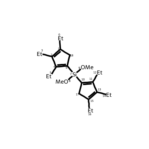 CCC1=C(CC)C(CC)=C([Si](OC)(OC)C2=C(CC)C(CC)=C(CC)C2)C1